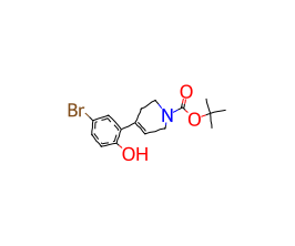 CC(C)(C)OC(=O)N1CC=C(c2cc(Br)ccc2O)CC1